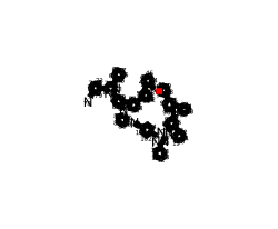 N#Cc1ccc(-c2nc(-c3ccccc3)nc(-n3c4ccccc4c4cc(-n5c6ccccc6c6cc(-c7cccc(-n8c9ccccc9c9cc(-c%10ccc%11c(c%10)c%10cc(-c%12nc(-c%13ccccc%13)cc(-c%13cccc(C#N)c%13)n%12)ccc%10n%11-c%10ccccc%10)ccc98)c7)ccc65)ccc43)n2)cc1